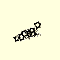 CC(=O)[C@@]1(OC2CCCCO2)CC[C@H]2[C@@H]3CC=C4CC5(CC[C@]4(C)[C@@]3(O)CC[C@@]21C)OCCO5